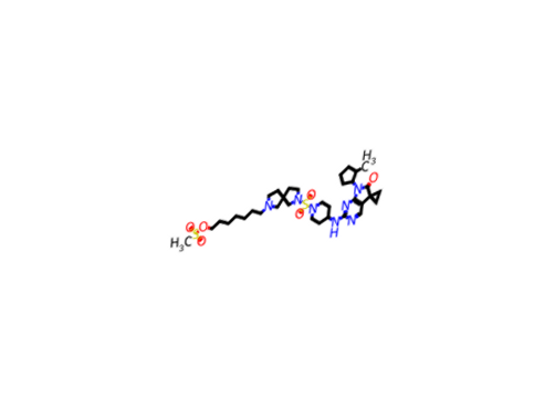 CC1CCCC1N1C(=O)C2(CC2)c2cnc(NC3CCN(S(=O)(=O)N4CCC5(CCN(CCCCCCCOS(C)(=O)=O)C5)C4)CC3)nc21